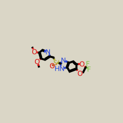 COc1cnc(C[S+]([O-])c2nc3cc4c(cc3[nH]2)OCC(F)(F)O4)cc1OC